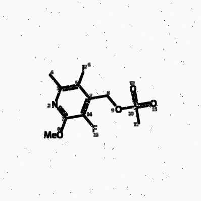 COc1nc(C)c(F)c(COS(C)(=O)=O)c1F